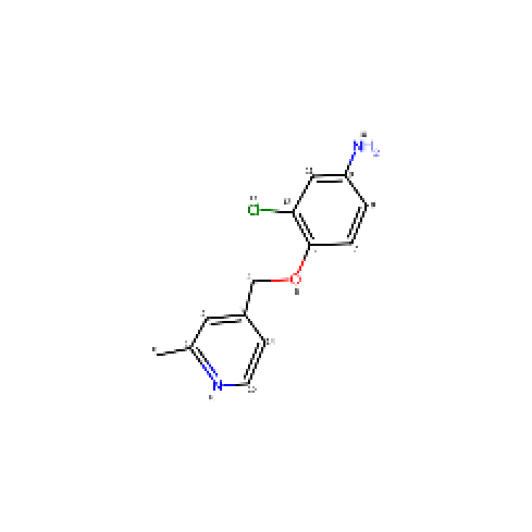 Cc1cc(COc2ccc(N)cc2Cl)ccn1